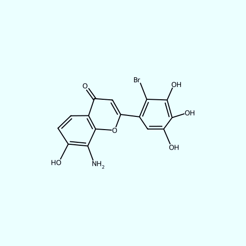 Nc1c(O)ccc2c(=O)cc(-c3cc(O)c(O)c(O)c3Br)oc12